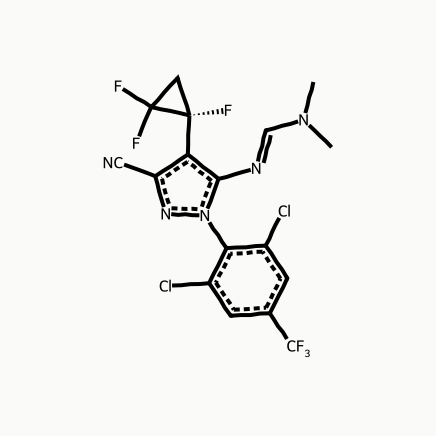 CN(C)C=Nc1c([C@]2(F)CC2(F)F)c(C#N)nn1-c1c(Cl)cc(C(F)(F)F)cc1Cl